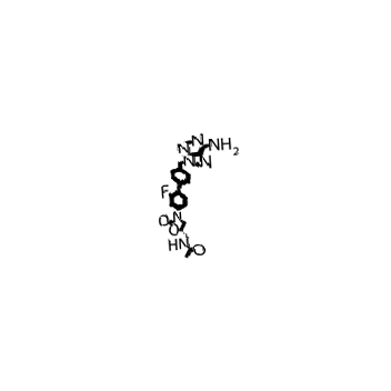 CC(=O)NC[C@H]1CN(c2ccc(-c3ccc(Cn4cnc5c(N)ncnc54)cc3)c(F)c2)C(=O)O1